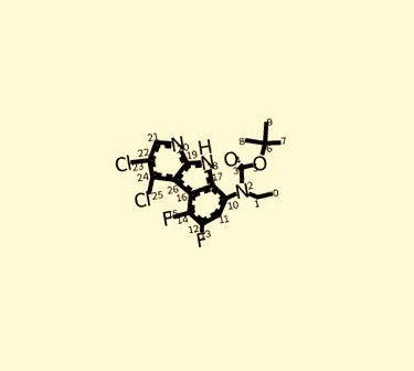 CCN(C(=O)OC(C)(C)C)c1cc(F)c(F)c2c1[nH]c1ncc(Cl)c(Cl)c12